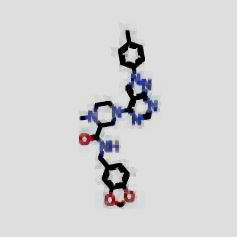 Cc1ccc(-n2cc3c(N4CCN(C)C(C(=O)NCc5ccc6c(c5)OCO6)C4)ncnc3n2)cc1